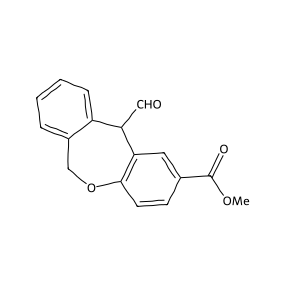 COC(=O)c1ccc2c(c1)C(C=O)c1ccccc1CO2